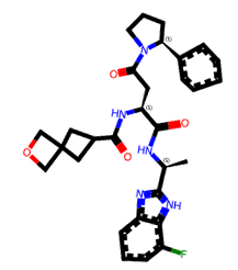 C[C@H](NC(=O)[C@H](CC(=O)N1CCC[C@H]1c1ccccc1)NC(=O)C1CC2(COC2)C1)c1nc2cccc(F)c2[nH]1